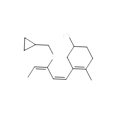 C/C=C(\C=C/C1=C(C)CCC(N)C1)OCC1CC1